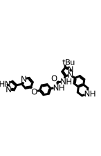 CC(C)(C)c1cc(NC(=O)Nc2ccc(Oc3ccnc(-c4cn[nH]c4)c3)cc2)n(-c2ccc3c(c2)CCNC3)n1